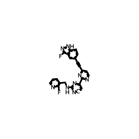 Fc1ncccc1CNc1nccc(-c2nccc(C#Cc3ccc4[nH]nc(F)c4c3)n2)n1